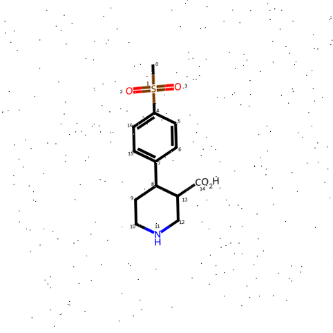 CS(=O)(=O)c1ccc(C2CCNCC2C(=O)O)cc1